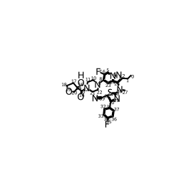 CCc1nn2cc(F)c(N3CCN(C(=O)[C@@]4(O)CCOC4)CC3)cc2c1N(C)c1nc(-c2ccc(F)cc2)c(C#N)s1